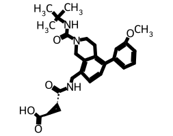 COc1cccc(-c2ccc(CNC(=O)[C@@H]3C[C@H]3C(=O)O)c3c2CCN(C(=O)NC(C)(C)C)C3)c1